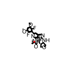 C=CC(=O)N[C@H]1COC[C@H]1Nc1ncc2cc(-c3c(F)c(OC)cc(OC)c3F)nc(NC)c2n1